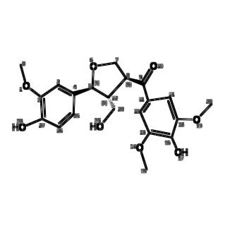 COc1cc([C@H]2OC[C@@H](C(=O)c3cc(OC)c(O)c(OC)c3)[C@@H]2CO)ccc1O